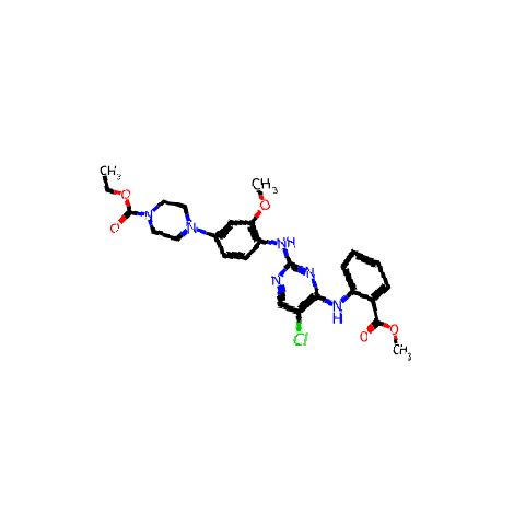 CCOC(=O)N1CCN(c2ccc(Nc3ncc(Cl)c(Nc4ccccc4C(=O)OC)n3)c(OC)c2)CC1